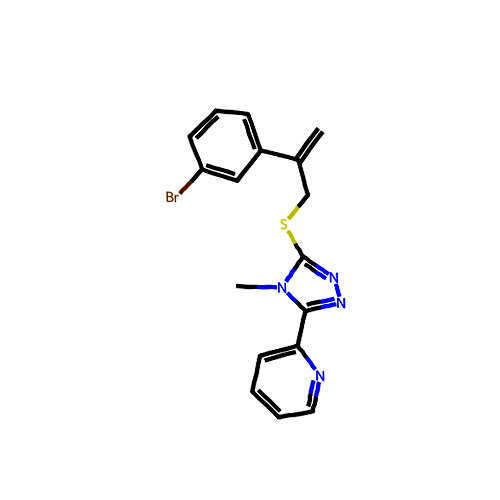 C=C(CSc1nnc(-c2ccccn2)n1C)c1cccc(Br)c1